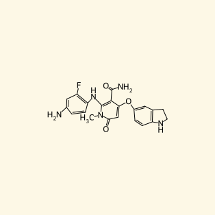 Cn1c(Nc2ccc(N)cc2F)c(C(N)=O)c(Oc2ccc3c(c2)CCN3)cc1=O